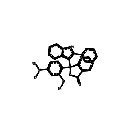 CCOc1cc(N(CC)CC)ccc1C1(c2c(-c3ccccc3)[nH]c3ccccc23)OC(=O)c2cccnc21